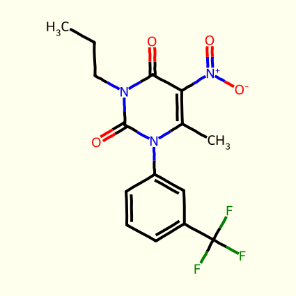 CCCn1c(=O)c([N+](=O)[O-])c(C)n(-c2cccc(C(F)(F)F)c2)c1=O